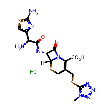 Cl.Cn1nnnc1SCC1=C(C(=O)O)N2C(=O)[C@@H](NC(=O)C(N)c3csc(N)n3)[C@H]2SC1